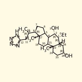 CC[C@H]1[C@@H](O)C2C3CC[C@H]([C@H](C)Cc4nnn[nH]4)[C@@]3(C)CCC2[C@@]2(C)CC[C@@H](O)C[C@@H]12